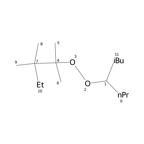 CCCC(OOC(C)(C)C(C)(C)CC)C(C)CC